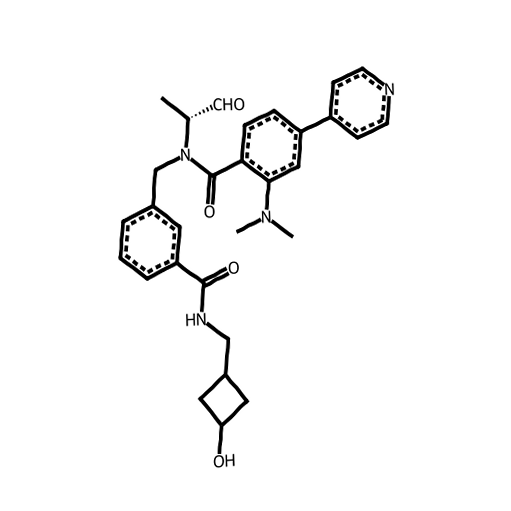 C[C@H](C=O)N(Cc1cccc(C(=O)NCC2CC(O)C2)c1)C(=O)c1ccc(-c2ccncc2)cc1N(C)C